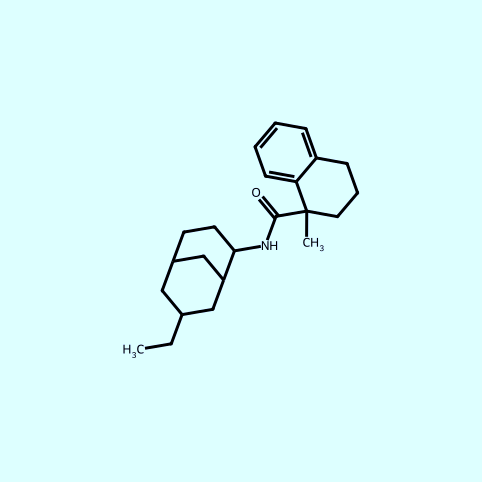 CCC1CC2CCC(NC(=O)C3(C)CCCc4ccccc43)C(C1)C2